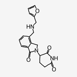 O=C1CCC(N2Cc3c(CNCc4ccco4)cccc3C2=O)C(=O)N1